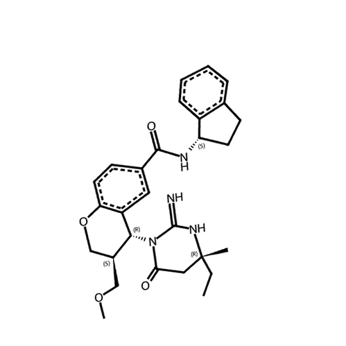 CC[C@]1(C)CC(=O)N([C@H]2c3cc(C(=O)N[C@H]4CCc5ccccc54)ccc3OC[C@@H]2COC)C(=N)N1